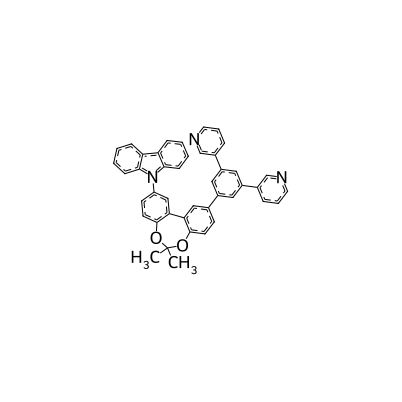 CC1(C)Oc2ccc(-c3cc(-c4cccnc4)cc(-c4cccnc4)c3)cc2-c2cc(-n3c4ccccc4c4ccccc43)ccc2O1